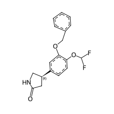 O=C1C[C@H](c2ccc(OC(F)F)c(OCc3ccccc3)c2)CN1